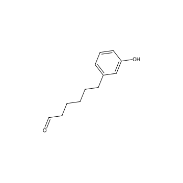 O=CCCCCCc1cccc(O)c1